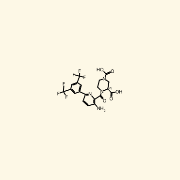 Nc1ccc(-c2cc(C(F)(F)F)cc(C(F)(F)F)c2)nc1C(=O)N1CCN(C(=O)O)C[C@H]1C(=O)O